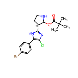 CC(C)(C)C(=O)OC1NCC[C@H]1c1nc(Cl)c(-c2ccc(Br)cc2)[nH]1